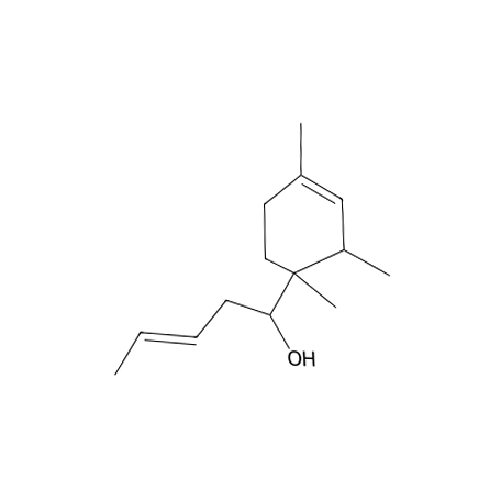 C/C=C/CC(O)C1(C)CCC(C)=CC1C